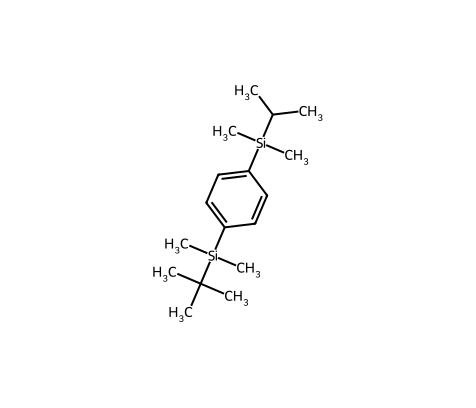 CC(C)[Si](C)(C)c1ccc([Si](C)(C)C(C)(C)C)cc1